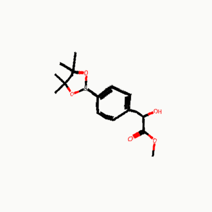 COC(=O)C(O)c1ccc(B2OC(C)(C)C(C)(C)O2)cc1